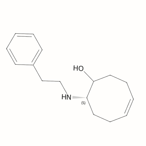 OC1CCC=CCC[C@@H]1NCCc1ccccc1